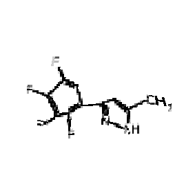 Cc1cc(-c2cc(F)c(F)c(F)c2F)n[nH]1